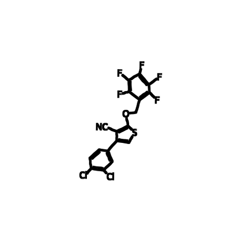 N#Cc1c(-c2ccc(Cl)c(Cl)c2)csc1OCc1c(F)c(F)c(F)c(F)c1F